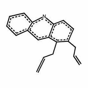 C=CCc1ccc2nc3ccccc3cc2c1CC=C